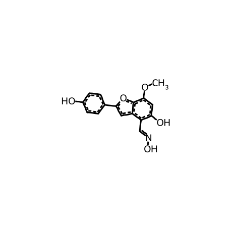 COc1cc(O)c(C=NO)c2cc(-c3ccc(O)cc3)oc12